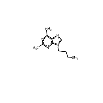 Cc1nc(N)c2ncn(CCCN)c2n1